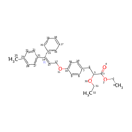 CCOC(=O)C(Cc1ccc(OC/C=C(\c2ccccc2)c2ccc(C)cc2)cc1)OCC